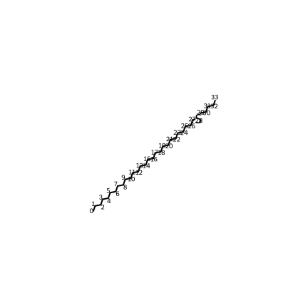 CCCCCCCCCCCCCCCCCCCCCCCCCCC[CH]SCCCCC